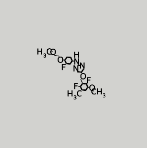 COCCOc1ccc(Nc2ncc(OCc3c(F)c(C)cc(OC)c3F)cn2)cc1F